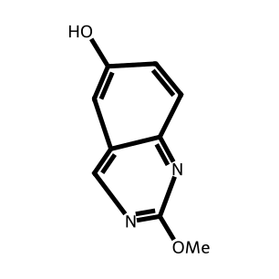 COc1ncc2cc(O)ccc2n1